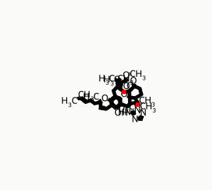 COC(=O)/C(C)=C\CC1(O)C(=O)CCC(C(C)C)C12Oc1c(CC=C(C)C)c3c(c(O)c1C1=C2C(C)n2ncnc2N1)C=CC(C)(CCC=C(C)C)O3